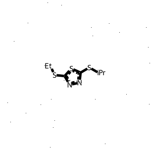 CCSc1nnc(SC(C)C)s1